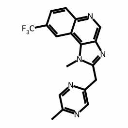 Cc1cnc(Cc2nc3cnc4ccc(C(F)(F)F)cc4c3n2C)cn1